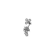 O=C(NNC(=S)NCCCc1cn(C(c2ccccc2)(c2ccccc2)c2ccccc2)cn1)c1ccc2ccccc2n1